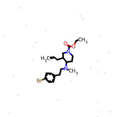 C=CCC1CN(C(=O)OCC)CCC1N(C)CCc1ccc(Br)cc1